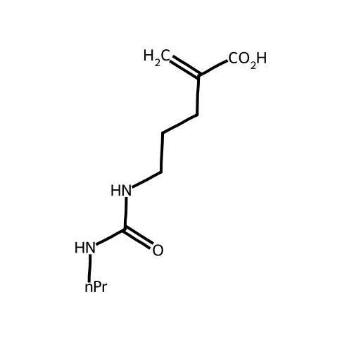 C=C(CCCNC(=O)NCCC)C(=O)O